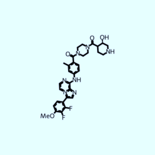 COc1ccc(-c2cnc3c(Nc4ccc(C(=O)N5CCN(C(=O)C6CCNC[C@@H]6O)CC5)c(C)c4)nccn23)c(F)c1F